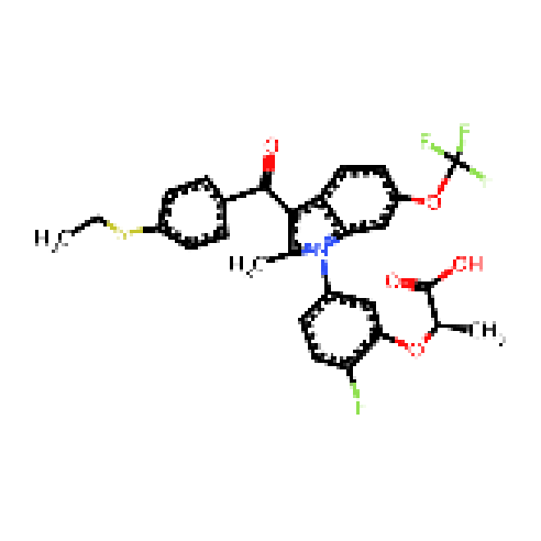 CCSc1ccc(C(=O)c2c(C)n(-c3ccc(F)c(O[C@H](C)C(=O)O)c3)c3cc(OC(F)(F)F)ccc23)cc1